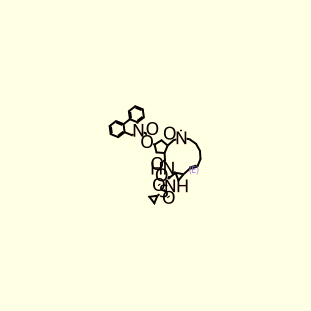 CN1CCCC/C=C/C2CC2(C(=O)NS(=O)(=O)C2CC2)NC(=O)C2CC(OC(=O)N3Cc4ccccc4-c4ccccc43)CC2C1=O